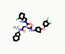 CN(C(=O)CN(CC(=O)Nc1ccc(Oc2ccc(F)c(F)c2)cc1)C(=O)c1cc2cccc(F)c2[nH]1)C1Cc2ccccc2C1